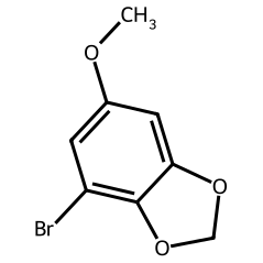 COc1cc(Br)c2c(c1)OCO2